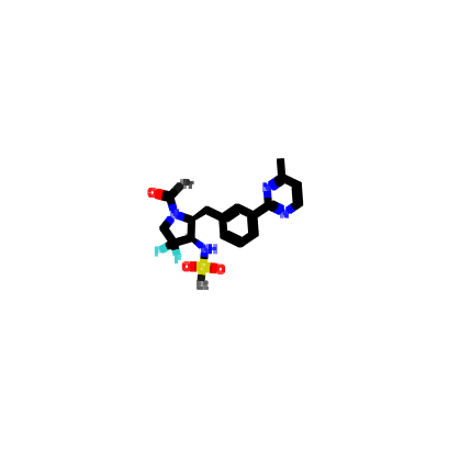 CCS(=O)(=O)N[C@@H]1[C@H](Cc2cccc(-c3nccc(C)n3)c2)N(C(=O)C(C)C)CC1(F)F